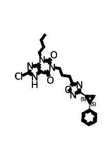 CCCCn1c(=O)n(CCCc2nc([C@H]3C[C@@H]3c3ccccc3)no2)c(=O)c2[nH]c(Cl)nc21